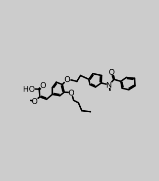 CCCCOc1cc(/C=C(/OC)C(=O)O)ccc1OCCc1ccc(N(C)C(=O)c2ccccc2)cc1